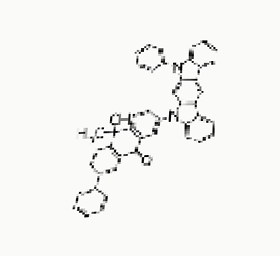 CC1(C)c2ccc(-c3ccccc3)cc2C(=O)c2cc(-n3c4ccccc4c4cc5c6ccccc6n(-c6ccccc6)c5cc43)ccc21